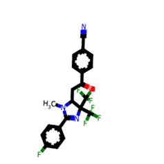 CN1C(c2ccc(F)cc2)=NC(C(F)(F)F)(C(F)(F)F)C1CC(=O)c1ccc(C#N)cc1